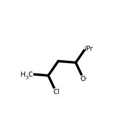 CC(Cl)CC([O])C(C)C